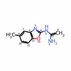 C=C(N)Nc1nc2cc(C)ccc2o1